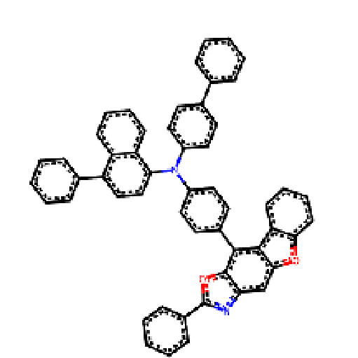 c1ccc(-c2ccc(N(c3ccc(-c4c5oc(-c6ccccc6)nc5cc5oc6ccccc6c45)cc3)c3ccc(-c4ccccc4)c4ccccc34)cc2)cc1